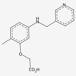 Cc1ccc(NCc2cccnc2)cc1OCC(=O)O